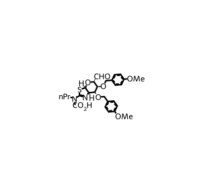 CCCN(C(=O)O)C1=N[C@@H]2[C@@H](OCc3ccc(OC)cc3)[C@H](OCc3ccc(OC)cc3)[C@@H](C=O)O[C@@H]2S1